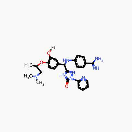 CCOc1cc(C(Nc2ccc(C(=N)N)cc2)c2nn(-c3ccccn3)c(=O)[nH]2)ccc1OC(C)CN(C)C